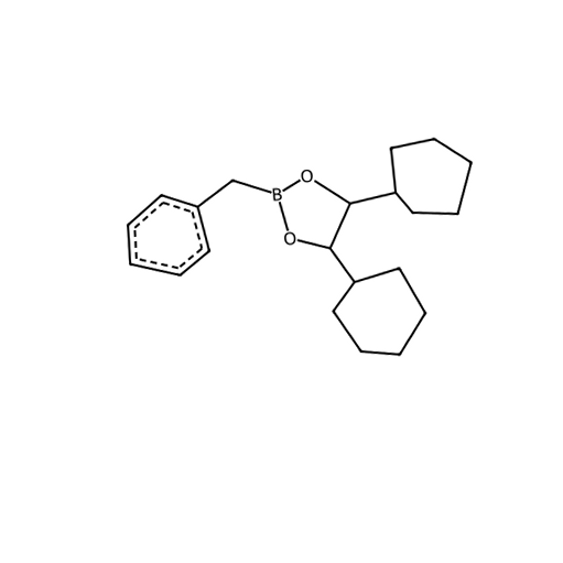 c1ccc(CB2OC(C3CCCCC3)C(C3CCCCC3)O2)cc1